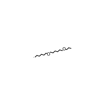 [CH2]CCCCCOCCCCCCOCCC